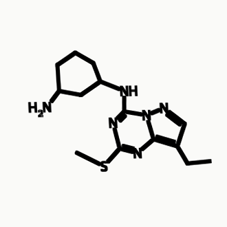 CCc1cnn2c(NC3CCCC(N)C3)nc(SC)nc12